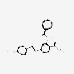 O=C(O)C(=O)c1ccc(/C=C/c2ccc(C(F)(F)F)cc2)cc1NC(=O)c1ccccc1